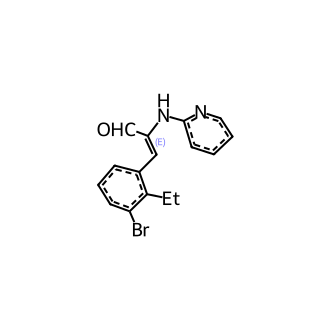 CCc1c(Br)cccc1/C=C(\C=O)Nc1ccccn1